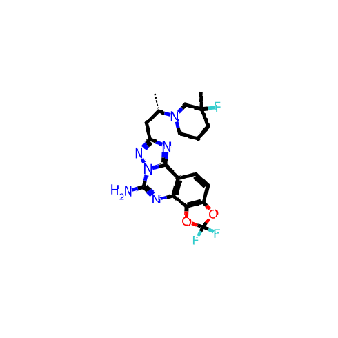 C[C@@H](Cc1nc2c3ccc4c(c3nc(N)n2n1)OC(F)(F)O4)N1CCCC(C)(F)C1